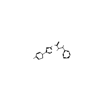 C=C(Nc1scc(C2C=CC(Cl)=CC2)c1C(=O)O)C(C)C(C)c1ccccc1